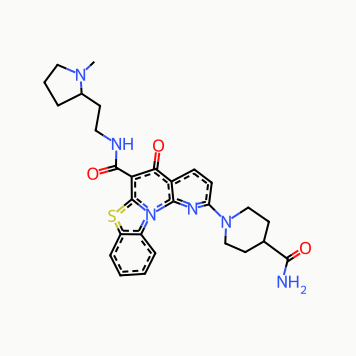 CN1CCCC1CCNC(=O)c1c(=O)c2ccc(N3CCC(C(N)=O)CC3)nc2n2c1sc1ccccc12